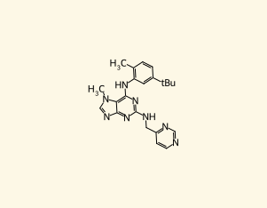 Cc1ccc(C(C)(C)C)cc1Nc1nc(NCc2ccncn2)nc2ncn(C)c12